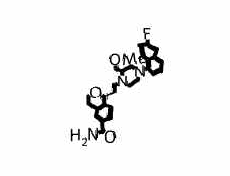 COCC1CN(c2cccc3cc(F)ccc23)CCN1CC[C@@H]1OCCc2cc(C(N)=O)ccc21